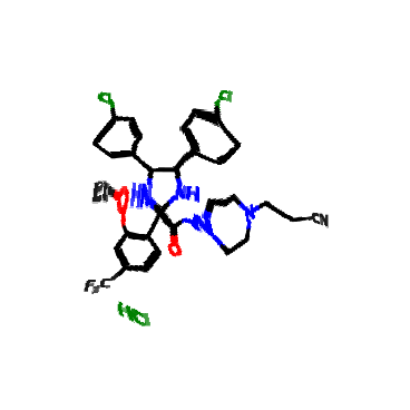 CCOc1cc(C(F)(F)F)ccc1C1(C(=O)N2CCN(CCC#N)CC2)NC(c2ccc(Cl)cc2)C(c2ccc(Cl)cc2)N1.Cl